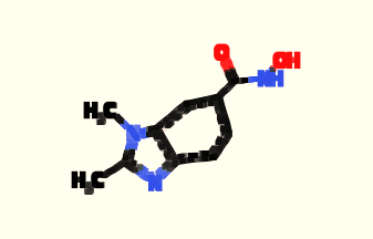 Cc1nc2ccc(C(=O)NO)cc2n1C